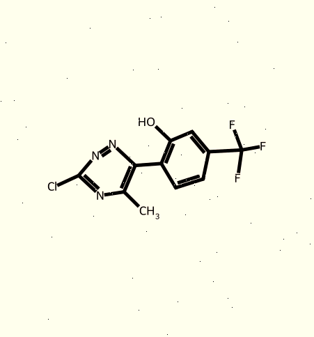 Cc1nc(Cl)nnc1-c1ccc(C(F)(F)F)cc1O